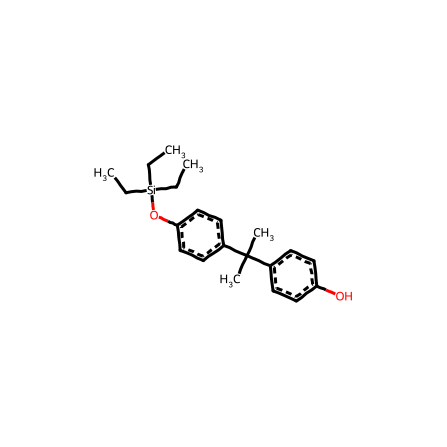 CC[Si](CC)(CC)Oc1ccc(C(C)(C)c2ccc(O)cc2)cc1